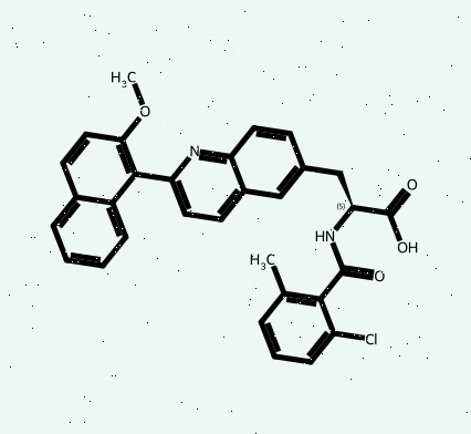 COc1ccc2ccccc2c1-c1ccc2cc(C[C@H](NC(=O)c3c(C)cccc3Cl)C(=O)O)ccc2n1